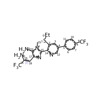 CCSc1cc(-c2ccc(C(F)(F)F)cc2)cnc1-c1nc(/C=C(\N)C(F)(F)F)c(N)n1C